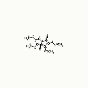 CCCOC(=O)C(OCCC)P(=O)(OCC)OCC